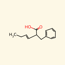 CCC=CC(Cc1ccccc1)C(=O)O